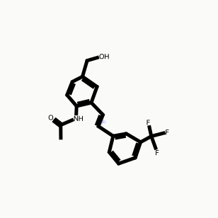 CC(=O)Nc1ccc(CO)cc1/C=C/c1cccc(C(F)(F)F)c1